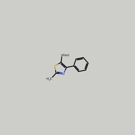 CCCCCc1sc(C)nc1-c1ccccc1